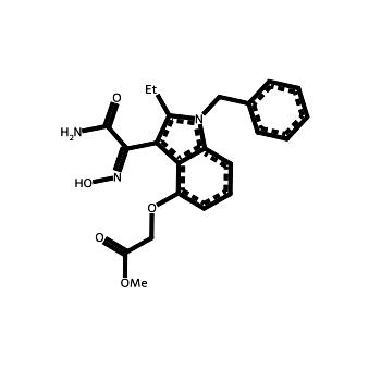 CCc1c(/C(=N/O)C(N)=O)c2c(OCC(=O)OC)cccc2n1Cc1ccccc1